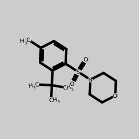 Cc1ccc(S(=O)(=O)N2CCOCC2)c(C(C)(C)C)c1